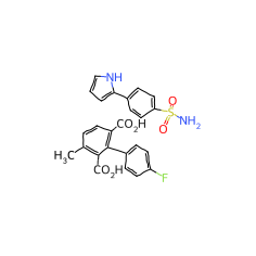 Cc1ccc(C(=O)O)c(-c2ccc(F)cc2)c1C(=O)O.NS(=O)(=O)c1ccc(-c2ccc[nH]2)cc1